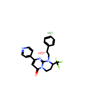 Cl.O=c1cc(-c2ccncc2)nc2n1CCC(C(F)(F)F)N2C[C@H](O)c1ccccc1